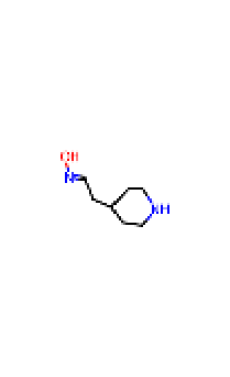 ON=CCC1CCNCC1